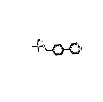 CC(C)(C)[Si](C)(C)OCc1ccc(-c2ccnnc2)cc1